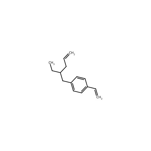 C=CCC(CC)Cc1ccc(C=C)cc1